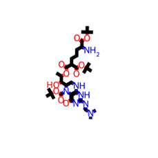 CC(OC(=O)C(CCCC(N)C(=O)OC(C)(C)C)C(=O)OC(C)(C)C)C(O)C1CNc2[nH]c(N=CN(C)C)nc(=O)c2N1C(=O)OC(C)(C)C